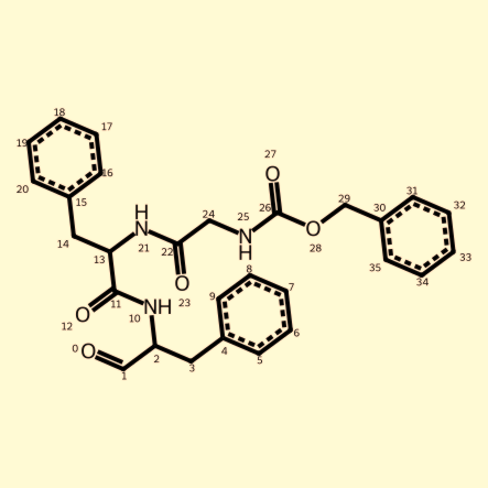 O=CC(Cc1ccccc1)NC(=O)C(Cc1ccccc1)NC(=O)CNC(=O)OCc1ccccc1